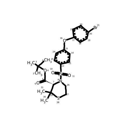 CC(C)(C)OC(=O)[C@@H]1N(S(=O)(=O)c2ccc(Oc3ccc(Br)cc3)cc2)CCSC1(C)C